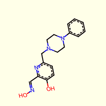 O/N=C/c1nc(CN2CCN(c3ccccc3)CC2)ccc1O